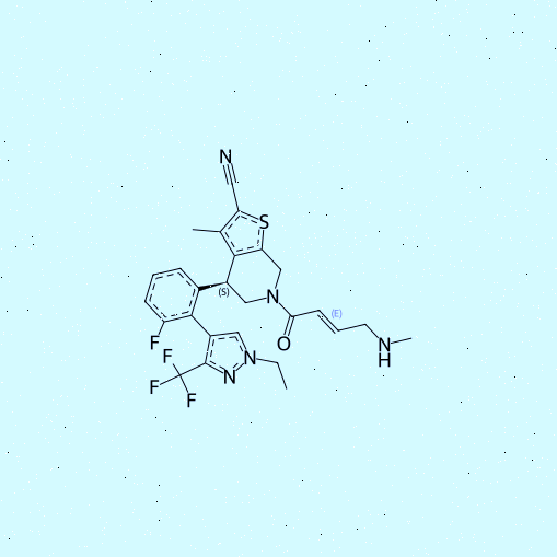 CCn1cc(-c2c(F)cccc2[C@@H]2CN(C(=O)/C=C/CNC)Cc3sc(C#N)c(C)c32)c(C(F)(F)F)n1